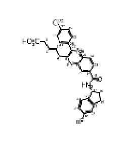 O=C(O)CCCCc1nc2cc(C(=O)N[C@H]3CCc4cc(F)ccc43)ccc2nc1-c1ccc(Cl)cc1